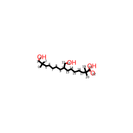 CC(C)(CO)CCCCCC(CO)CCCCCC(C)(C)C(=O)O